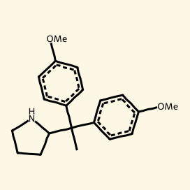 COc1ccc(C(C)(c2ccc(OC)cc2)C2CCCN2)cc1